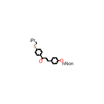 CCCCCCCCCOc1ccc(C=CC(=O)c2ccc(SCC(C)C)cc2)cc1